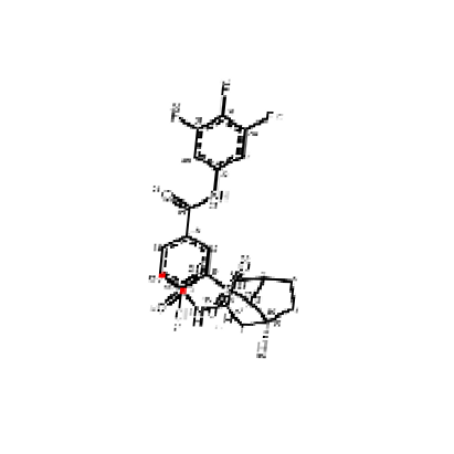 CS(=O)(=O)NC1CC2CC[C@@H](C1)[C@H]2S(=O)(=O)c1cc(C(=O)Nc2cc(F)c(F)c(F)c2)ccc1Cl